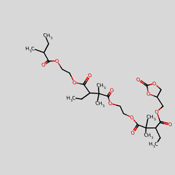 CCC(C)C(=O)OCCOC(=O)C(CC)C(C)(C)C(=O)OCCOC(=O)C(C)(C)C(CC)C(=O)OCC1COC(=O)O1